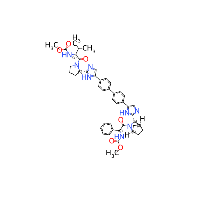 COC(=O)N[C@H](C(=O)N1CCC[C@H]1c1ncc(-c2ccc(-c3ccc(-c4cnc([C@@H]5[C@H]6CC[C@H](C6)N5C(=O)[C@H](NC(=O)OC)c5ccccc5)[nH]4)cc3)cc2)[nH]1)C(C)C